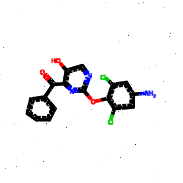 Nc1cc(Cl)c(Oc2ncc(O)c(C(=O)c3ccccc3)n2)c(Cl)c1